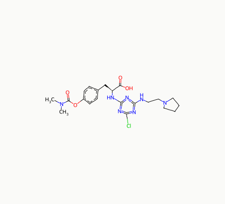 CN(C)C(=O)Oc1ccc(C[C@H](Nc2nc(Cl)nc(NCCN3CCCC3)n2)C(=O)O)cc1